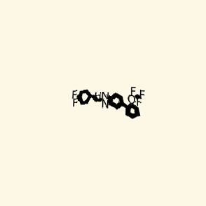 FC1(F)CCC(C=Cc2nc3cc(-c4ccccc4OC(F)(F)F)ccc3[nH]2)CC1